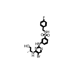 C[C@H](CO)Nc1nc(Nc2cccc(S(=O)(=O)NCc3ccc(F)cc3)c2)ncc1Br